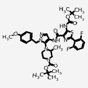 COc1ccc(Cn2ncc(NC(=O)c3nc(-c4c(F)cccc4F)sc3NC(=O)OC(C)(C)C)c2N2CCN(C(=O)OC(C)(C)C)CC2C)cc1